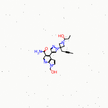 CC#CCC1(n2cc(-c3c(C(N)=O)cnc4c3ccn4CO)cn2)CN(C(O)CC)C1